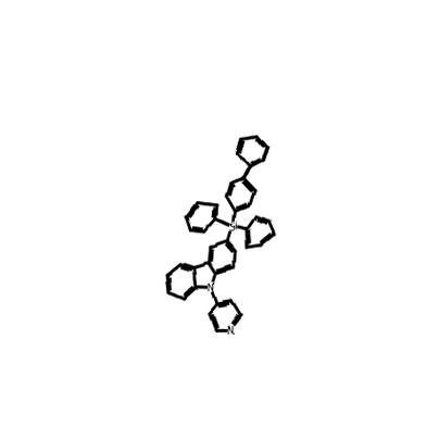 c1ccc(-c2ccc([Si](c3ccccc3)(c3ccccc3)c3ccc4c(c3)c3ccccc3n4-c3ccncc3)cc2)cc1